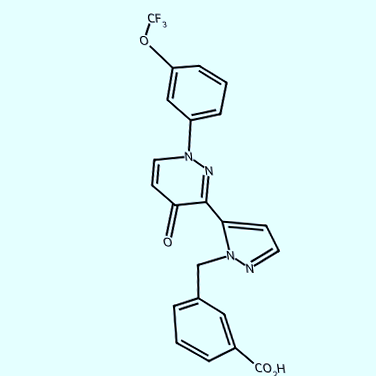 O=C(O)c1cccc(Cn2nccc2-c2nn(-c3cccc(OC(F)(F)F)c3)ccc2=O)c1